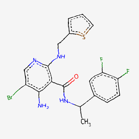 CC(NC(=O)c1c(NCc2cccs2)ncc(Br)c1N)c1ccc(F)c(F)c1